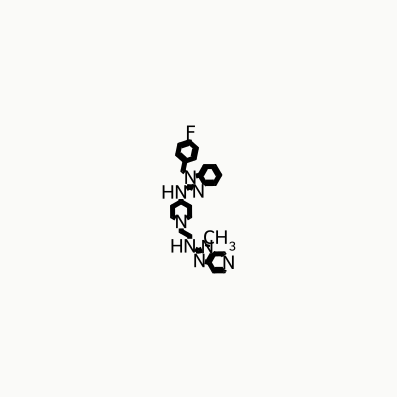 Cn1c(NCCN2CCC(Nc3nc4ccccc4n3Cc3ccc(F)cc3)CC2)nc2ccncc21